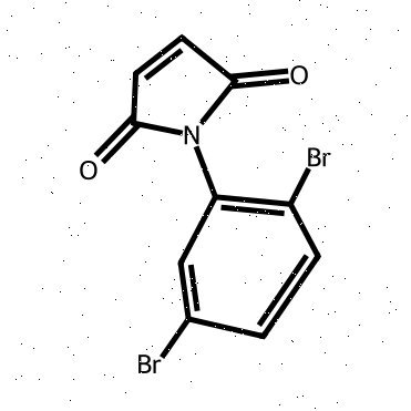 O=C1C=CC(=O)N1c1cc(Br)ccc1Br